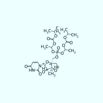 CC(C)OC(=O)OC(C)OP(=O)(OC[C@@]1(CF)O[C@@H](n2ccc(=O)[nH]c2=O)[C@](C)(O)[C@@H]1O)OC(C)OC(=O)OC(C)C